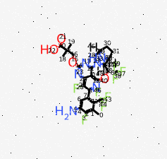 Cc1c(F)c(N)cc(-c2nc3c4c(nc(OCC(C)(C)C(=O)O)nc4c2F)N2C[C@H]4CC[C@H](N4)[C@H]2[C@H](C(F)(F)F)O3)c1C(F)(F)F